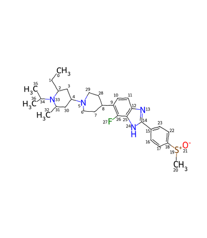 CCC1CC(N2CCC(c3ccc4nc(-c5ccc([S+](C)[O-])cc5)[nH]c4c3F)CC2)CC(C)N1C(C)C